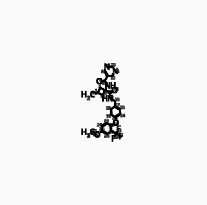 C=C1CC(NC(=O)c2cncnc2)(C(=O)NCc2ccc(Oc3ccc(OC)cc3C(F)(F)F)cc2)C1